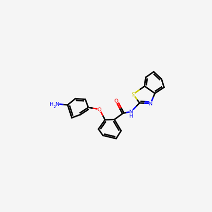 Nc1ccc(Oc2ccccc2C(=O)Nc2nc3ccccc3s2)cc1